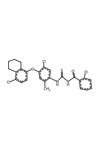 Cc1cc(Oc2ccc(Cl)c3c2CCCC3)c(Cl)cc1NC(=S)NC(=O)c1ccccc1Cl